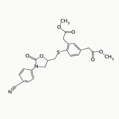 COC(=O)Cc1ccc(SCC2CN(c3ccc(C#N)cc3)C(=O)O2)c(CC(=O)OC)c1